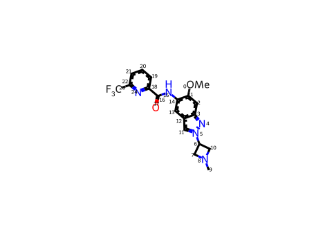 COc1cc2nn(C3CN(C)C3)cc2cc1NC(=O)c1cccc(C(F)(F)F)n1